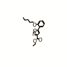 CCCCCOc1ccccc1-c1cc(C(=O)OCC)no1